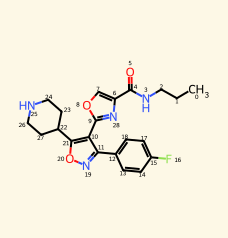 CCCNC(=O)c1coc(-c2c(-c3ccc(F)cc3)noc2C2CCNCC2)n1